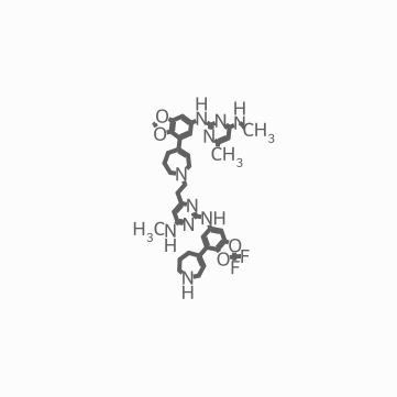 CNc1cc(C)nc(Nc2cc3c(c(C4=CCN(CCc5cc(NC)nc(Nc6cc7c(c(C8=CCNCCC8)c6)OC(F)(F)O7)n5)CCC4)c2)OCO3)n1